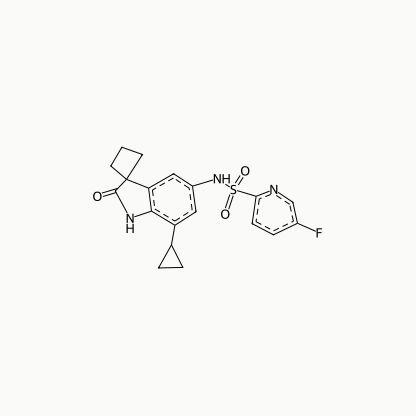 O=C1Nc2c(C3CC3)cc(NS(=O)(=O)c3ccc(F)cn3)cc2C12CCC2